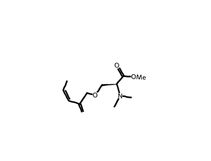 C=C(/C=C\C)COC[C@@H](C(=O)OC)N(C)C